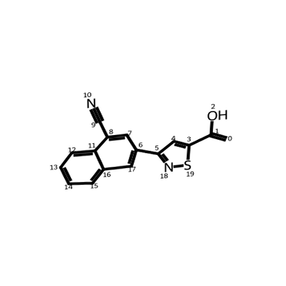 C=C(O)c1cc(-c2cc(C#N)c3ccccc3c2)ns1